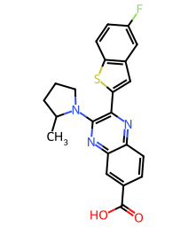 CC1CCCN1c1nc2cc(C(=O)O)ccc2nc1-c1cc2cc(F)ccc2s1